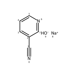 N#Cc1cccnc1.[Na+].[OH-]